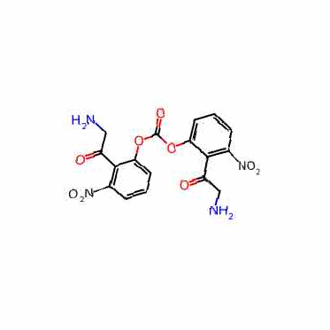 NCC(=O)c1c(OC(=O)Oc2cccc([N+](=O)[O-])c2C(=O)CN)cccc1[N+](=O)[O-]